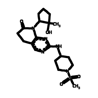 CC1(O)CCCC1N1C(=O)CCc2cnc(NC3CCN(S(C)(=O)=O)CC3)nc21